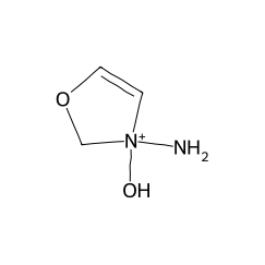 N[N+]1(O)C=COC1